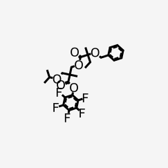 CCC(C)(OCc1ccccc1)C(=O)OCC(C)(COC(C)C)C(=O)Oc1c(F)c(F)c(F)c(F)c1F